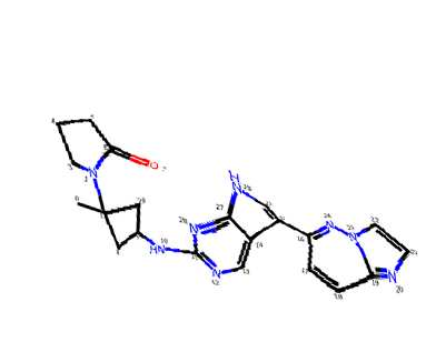 CC1(N2CCCC2=O)CC(Nc2ncc3c(-c4ccc5nccn5n4)c[nH]c3n2)C1